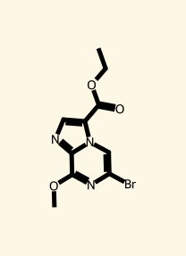 CCOC(=O)c1cnc2c(OC)nc(Br)cn12